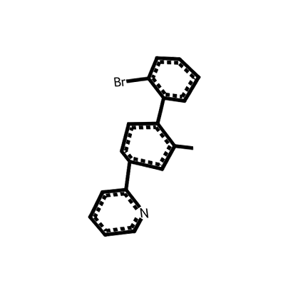 Cc1cc(-c2ccccn2)ccc1-c1ccccc1Br